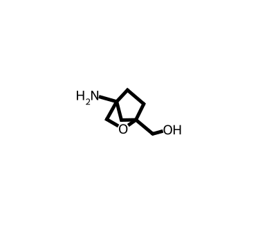 NC12CCC(CO)(C1)OC2